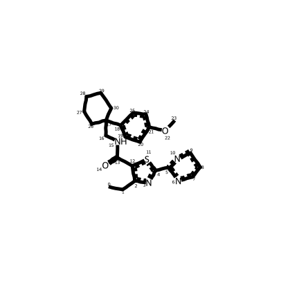 CCc1nc(-c2ncccn2)sc1C(=O)NCC1(c2ccc(OC)cc2)CCCCC1